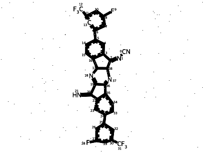 N#C/N=C1\c2cc(-c3cc(F)cc(C(F)(F)F)c3)ccc2C2N=C3C(=N)c4cc(-c5cc(F)cc(C(F)(F)F)c5)ccc4C3=NC12